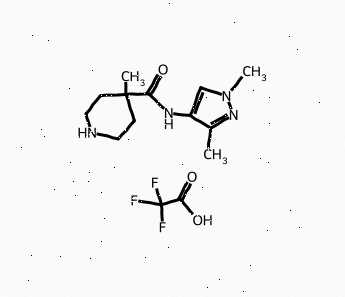 Cc1nn(C)cc1NC(=O)C1(C)CCNCC1.O=C(O)C(F)(F)F